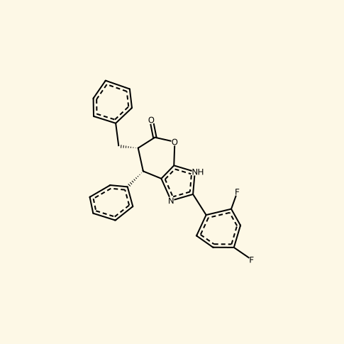 O=C1Oc2[nH]c(-c3ccc(F)cc3F)nc2[C@H](c2ccccc2)[C@@H]1Cc1ccccc1